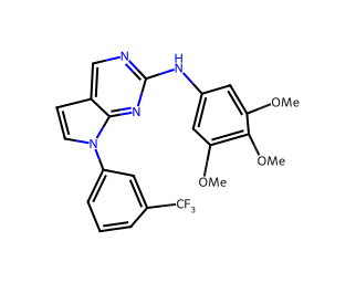 COc1cc(Nc2ncc3ccn(-c4cccc(C(F)(F)F)c4)c3n2)cc(OC)c1OC